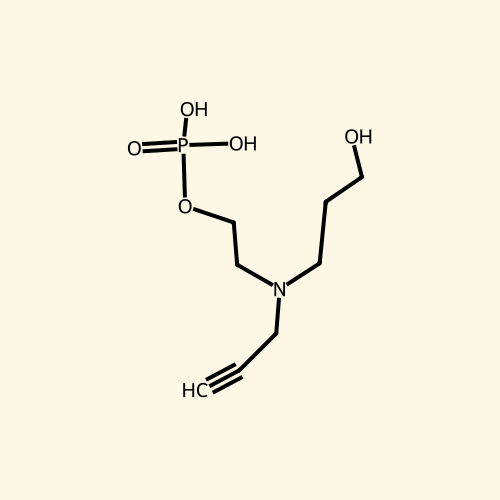 C#CCN(CCCO)CCOP(=O)(O)O